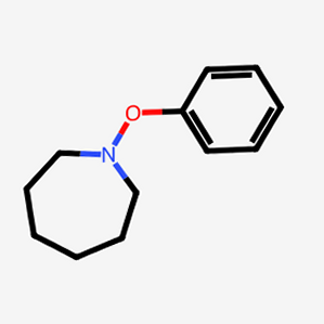 c1ccc(ON2CCCCCC2)cc1